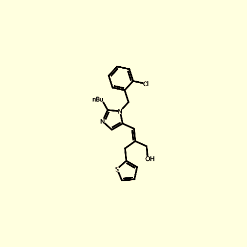 CCCCc1ncc(C=C(CO)Cc2cccs2)n1Cc1ccccc1Cl